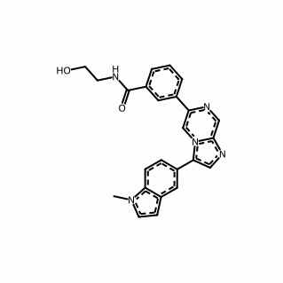 Cn1ccc2cc(-c3cnc4cnc(-c5cccc(C(=O)NCCO)c5)cn34)ccc21